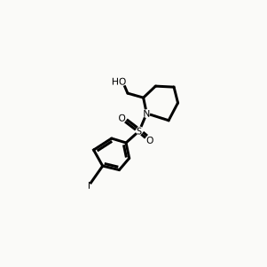 O=S(=O)(c1ccc(I)cc1)N1CCCCC1CO